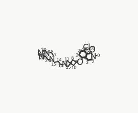 Cn1ccc2c(OC3CC4(C3)CN(CCCN3CCn5cnnc5C3)C4)ccc(Cl)c2c1=O